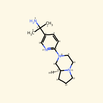 CC(C)(N)c1ccc(N2CCN3CCC[C@H]3C2)nc1